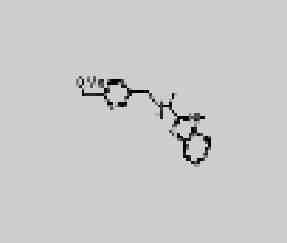 COCc1ccc(CNC(C)c2nc3ccccc3[nH]2)cc1